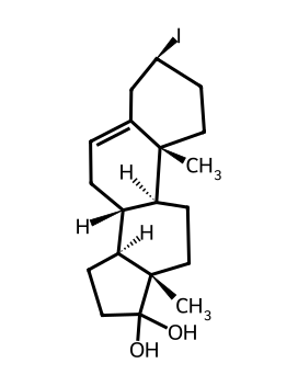 C[C@]12CC[C@H](I)CC1=CC[C@@H]1[C@@H]2CC[C@@]2(C)[C@H]1CCC2(O)O